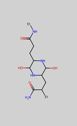 CCNC(=O)CCC1NC(O)C(CC(CC)C(N)=O)NC1O